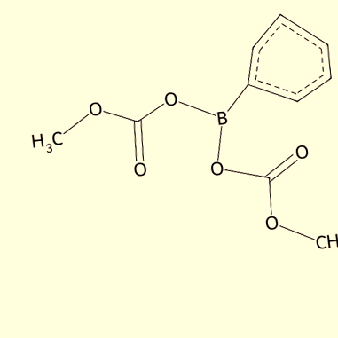 COC(=O)OB(OC(=O)OC)c1ccccc1